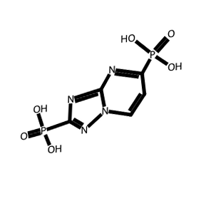 O=P(O)(O)c1ccn2nc(P(=O)(O)O)nc2n1